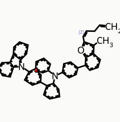 C=CC/C=C\c1oc2c(-c3ccc(N(c4ccccc4)c4ccccc4-c4ccc(-n5c6ccccc6c6ccccc65)cc4)cc3)cccc2c1C